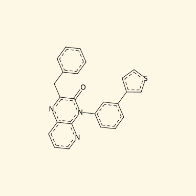 O=c1c(Cc2ccccc2)nc2cccnc2n1-c1cccc(-c2ccsc2)c1